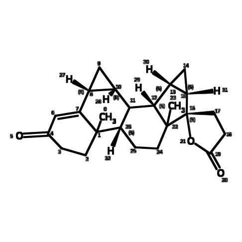 CC12CCC(=O)C=C1[C@@H]1C[C@@H]1C1[C@@H]3[C@@H]4C[C@@H]4[C@@]4(CCC(=O)O4)C3(C)CC[C@@H]12